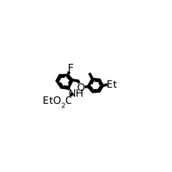 CCOC(=O)Nc1cccc(F)c1COc1ccc(CC)cc1C